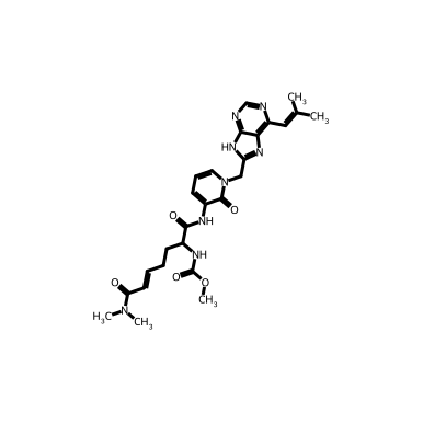 COC(=O)NC(CC/C=C/C(=O)N(C)C)C(=O)Nc1cccn(Cc2nc3c(C=C(C)C)ncnc3[nH]2)c1=O